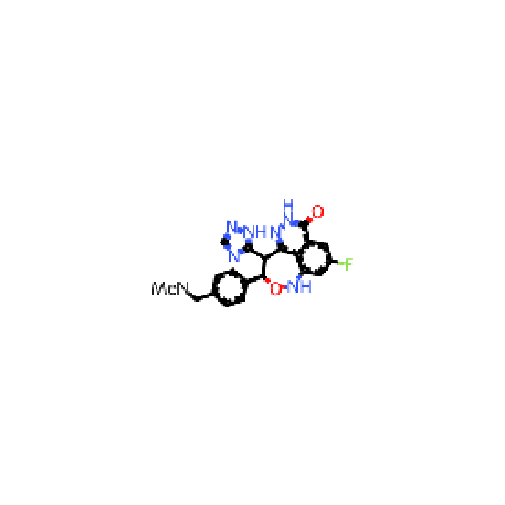 CNCc1ccc(C2ONc3cc(F)cc4c(=O)[nH]nc(c34)C2c2ncn[nH]2)cc1